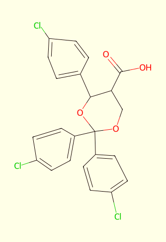 O=C(O)C1COC(c2ccc(Cl)cc2)(c2ccc(Cl)cc2)OC1c1ccc(Cl)cc1